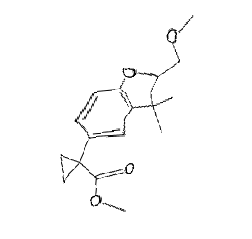 COCC1Oc2ccc(C3(C(=O)OC)CC3)cc2C1(C)C